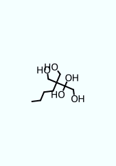 CCCCC(CO)(CO)C(O)(O)CO